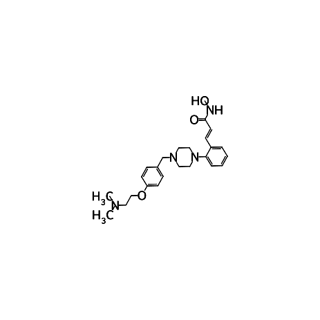 CN(C)CCOc1ccc(CN2CCN(c3ccccc3C=CC(=O)NO)CC2)cc1